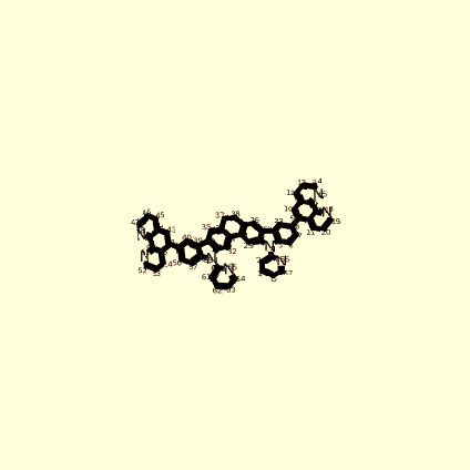 c1ccc(-n2c3ccc(-c4cc5cccnc5c5ncccc45)cc3c3cc4c(cc32)-c2cc3c(cc2CC4)c2cc(-c4cc5cccnc5c5ncccc45)ccc2n3-c2ccccn2)nc1